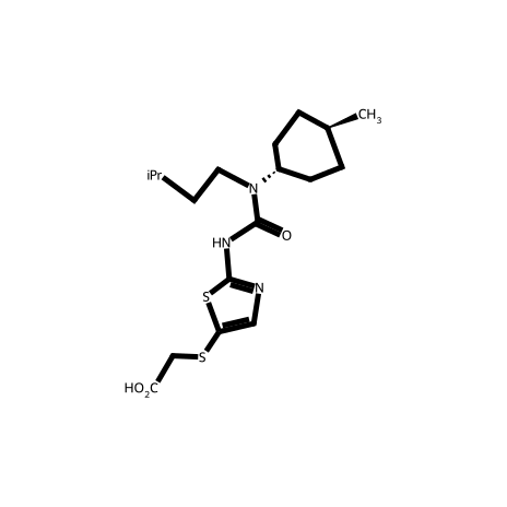 CC(C)CCN(C(=O)Nc1ncc(SCC(=O)O)s1)[C@H]1CC[C@H](C)CC1